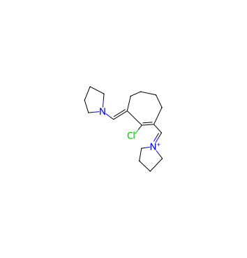 ClC1=C(C=[N+]2CCCC2)CCCC/C1=C\N1CCCC1